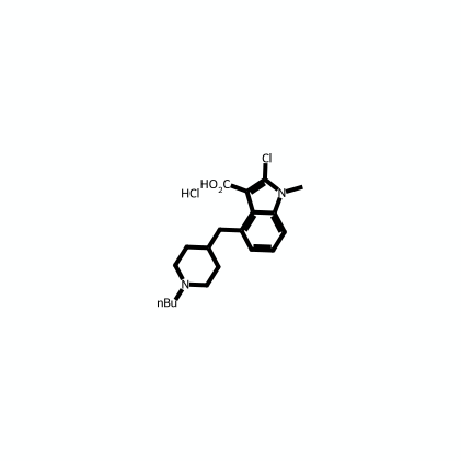 CCCCN1CCC(Cc2cccc3c2c(C(=O)O)c(Cl)n3C)CC1.Cl